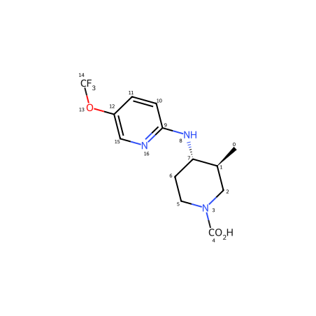 C[C@H]1CN(C(=O)O)CC[C@@H]1Nc1ccc(OC(F)(F)F)cn1